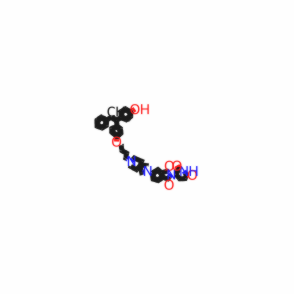 C/C(=C(\c1ccc(O)cc1)c1ccc(OCCCCN2CCC3(CC2)CN(c2ccc4c(c2)C(=O)N(C2CCC(=O)NC2=O)C4=O)C3)cc1)c1ccccc1